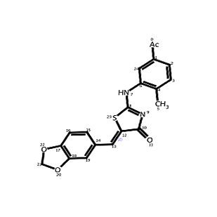 CC(=O)c1ccc(C)c(NC2=NC(=O)/C(=C/c3ccc4c(c3)OCO4)S2)c1